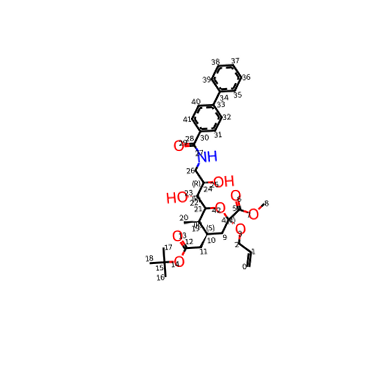 C=CCO[C@]1(C(=O)OC)C[C@@H](CC(=O)OC(C)(C)C)[C@@H](C)C([C@H](O)[C@H](O)CNC(=O)c2ccc(-c3ccccc3)cc2)O1